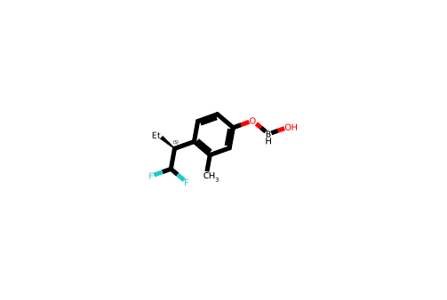 CC[C@@H](c1ccc(OBO)cc1C)C(F)F